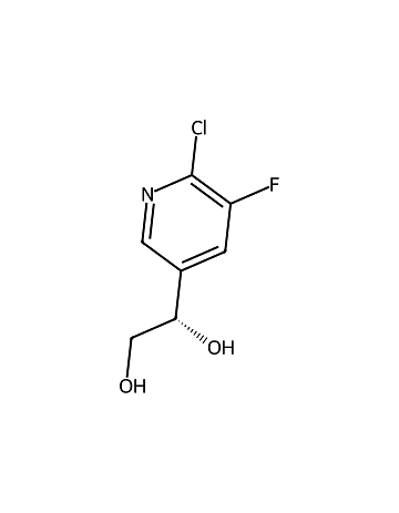 OC[C@@H](O)c1cnc(Cl)c(F)c1